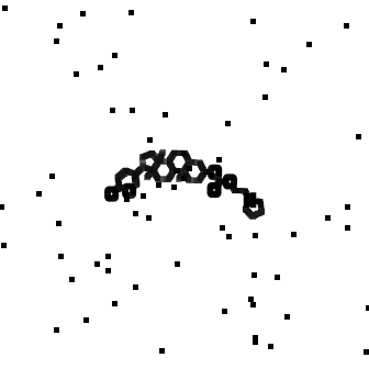 CC12CCC(OC(=O)OCCN3CCCC3)CC1CCC1C2CCC2(C)C(c3ccc(=O)oc3)CCC12C